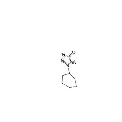 O=c1nnn(C2CCCCC2)[nH]1